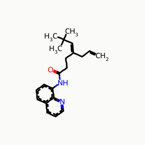 C=CC/C(=C/C(C)(C)C)CCC(=O)Nc1cccc2cccnc12